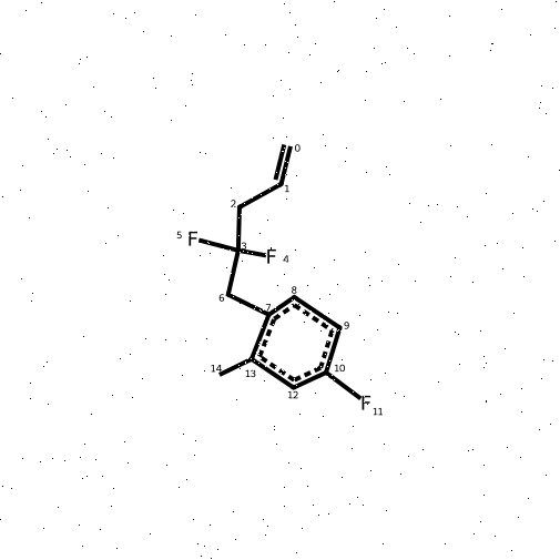 C=CCC(F)(F)Cc1ccc(F)cc1C